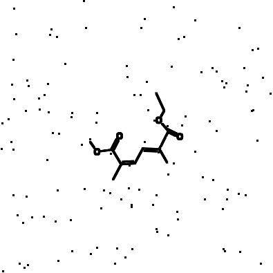 CCOC(=O)C(C)=CC=C(C)C(=O)OC